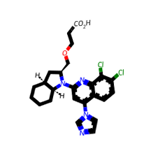 O=C(O)CCOC[C@@H]1C[C@@H]2CCCC[C@@H]2N1c1cc(-n2ccnc2)c2ccc(Cl)c(Cl)c2n1